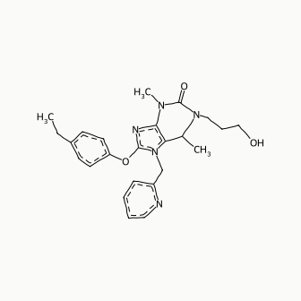 CCc1ccc(Oc2nc3c(n2Cc2ccccn2)C(C)N(CCCO)C(=O)N3C)cc1